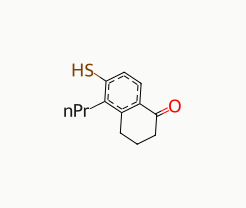 CCCc1c(S)ccc2c1CCCC2=O